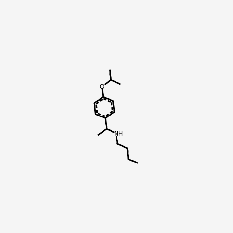 CCCCNC(C)c1ccc(OC(C)C)cc1